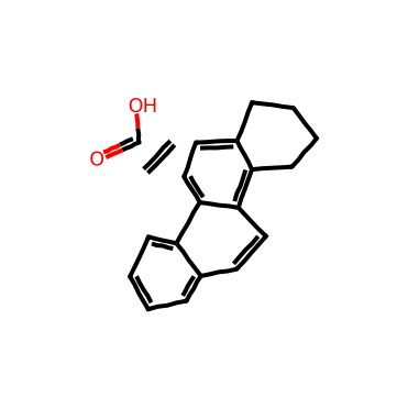 C=C.O=CO.c1ccc2c(c1)ccc1c3c(ccc12)CCCC3